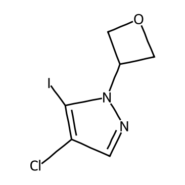 Clc1cnn(C2COC2)c1I